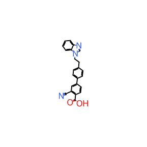 N#Cc1cc(-c2ccc(CCn3cnc4ccccc43)cc2)ccc1C(=O)O